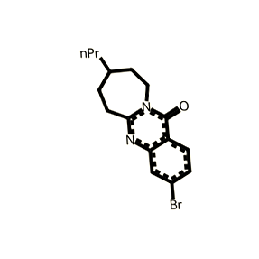 CCCC1CCc2nc3cc(Br)ccc3c(=O)n2CC1